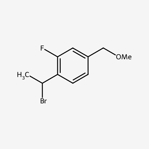 COCc1ccc(C(C)Br)c(F)c1